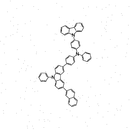 c1ccc(N(c2ccc(-c3ccc4c(c3)c3cc(-c5ccc6ccccc6c5)ccc3n4-c3ccccc3)cc2)c2ccc(-n3c4ccccc4c4ccccc43)cc2)cc1